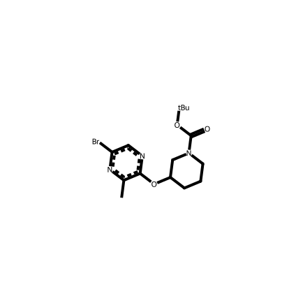 Cc1nc(Br)cnc1OC1CCCN(C(=O)OC(C)(C)C)C1